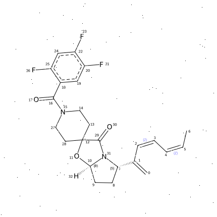 C=C(/C=C\C=C/C)[C@@H]1CC[C@H]2OC3(CCN(C(=O)c4cc(F)c(F)cc4F)CC3)C(=O)N21